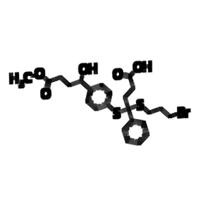 COC(=O)CCC(O)c1ccc(SC(CCC(=O)O)(SCCCBr)c2ccccc2)cc1